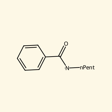 CCCCC[N]C(=O)c1ccccc1